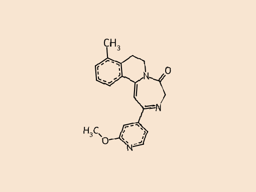 COc1cc(C2=NCC(=O)N3CCc4c(C)cccc4C3=C2)ccn1